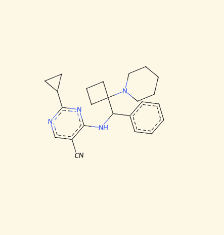 N#Cc1cnc(C2CC2)nc1NC(c1ccccc1)C1(N2CCCCC2)CCC1